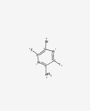 Nc1nc(F)c(Br)nc1I